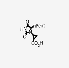 CCCCCC1C(=O)NC(=O)N1C1CC1C(=O)O